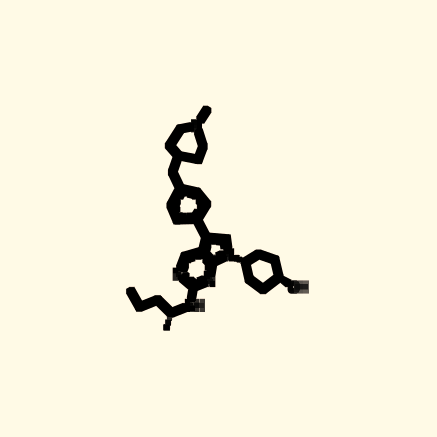 CCC[C@@H](C)Nc1ncc2c(-c3ccc(CC4CCN(C)CC4)cc3)cn([C@H]3CC[C@H](O)CC3)c2n1